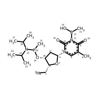 [2H]C[C@H]1O[C@@H](n2cc(C)c(=O)n(B(C)O)c2=O)C[C@H]1OP(C)N(C(C)C)C(C)C